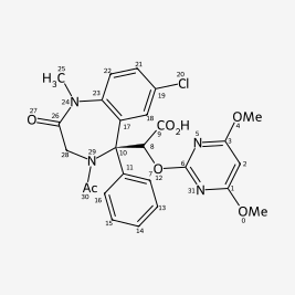 COc1cc(OC)nc(OC(C(=O)O)[C@]2(c3ccccc3)c3cc(Cl)ccc3N(C)C(=O)CN2C(C)=O)n1